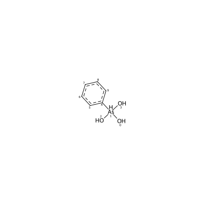 O[AsH](O)(O)c1ccccc1